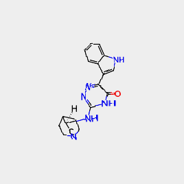 O=c1[nH]c(N[C@H]2CN3CCC2CC3)nnc1-c1c[nH]c2ccccc12